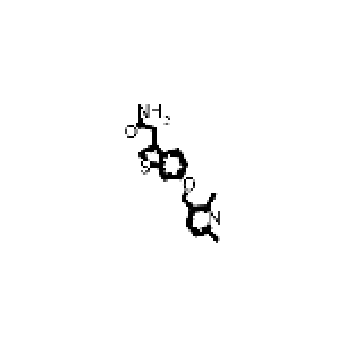 Cc1ccc(COc2ccc3c(CC(N)=O)csc3c2)c(C)n1